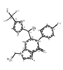 CCn1cnc2c(=O)n(-c3ccc(F)cc3)c(C(S)c3nc(C(F)(F)F)cs3)nc21